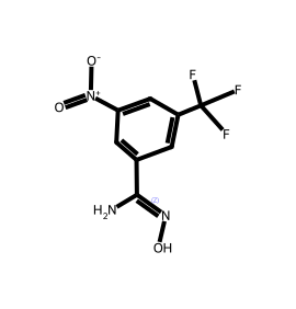 N/C(=N\O)c1cc([N+](=O)[O-])cc(C(F)(F)F)c1